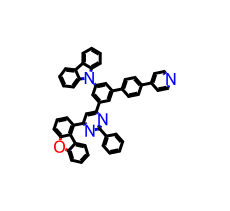 c1ccc(-c2nc(-c3cc(-c4ccc(-c5ccncc5)cc4)cc(-n4c5ccccc5c5ccccc54)c3)cc(-c3cccc4oc5ccccc5c34)n2)cc1